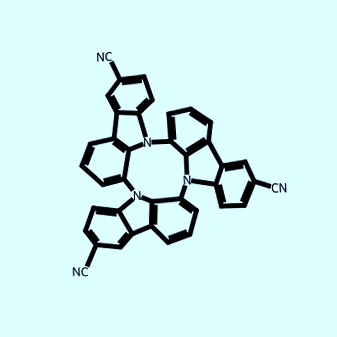 N#Cc1ccc2c(c1)c1cccc3c1n2c1cccc2c4cc(C#N)ccc4n(c4cccc5c6cc(C#N)ccc6n3c54)c21